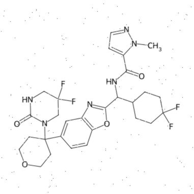 Cn1nccc1C(=O)NC(c1nc2cc(C3(N4CC(F)(F)CNC4=O)CCOCC3)ccc2o1)C1CCC(F)(F)CC1